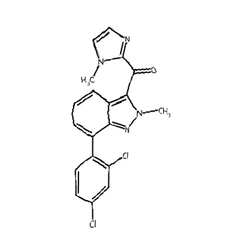 Cn1ccnc1C(=O)c1c2cccc(-c3ccc(Cl)cc3Cl)c2nn1C